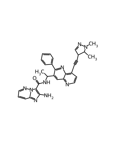 CC(NC(=O)c1c(N)nc2cccnn12)c1cc2nccc(C#CC3C=NN(C)C3C)c2nc1-c1ccccc1